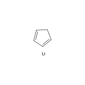 C1=CCC=C1.[Li]